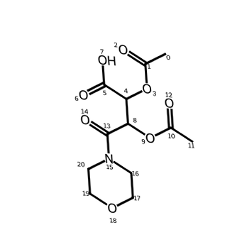 CC(=O)OC(C(=O)O)C(OC(C)=O)C(=O)N1CCOCC1